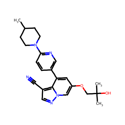 CC1CCN(c2ccc(-c3cc(OCC(C)(C)O)cn4ncc(C#N)c34)cn2)CC1